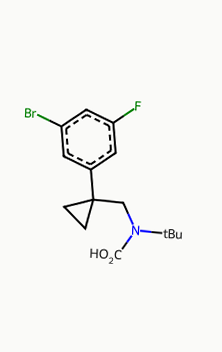 CC(C)(C)N(CC1(c2cc(F)cc(Br)c2)CC1)C(=O)O